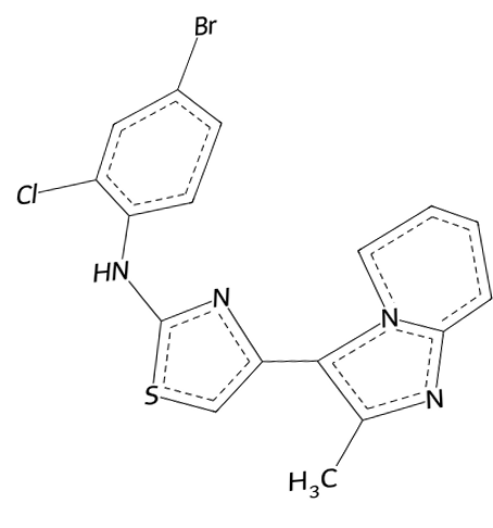 Cc1nc2ccccn2c1-c1csc(Nc2ccc(Br)cc2Cl)n1